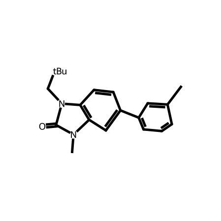 Cc1cccc(-c2ccc3c(c2)n(C)c(=O)n3CC(C)(C)C)c1